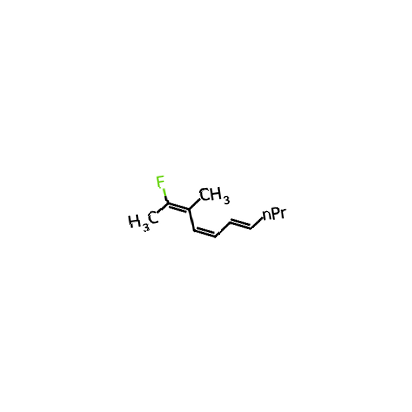 CCC/C=C/C=C\C(C)=C(/C)F